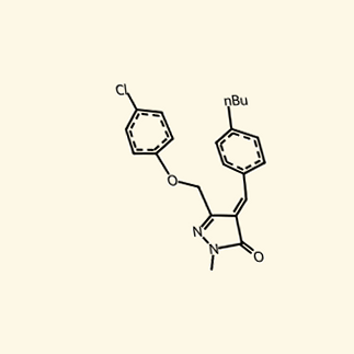 CCCCc1ccc(/C=C2/C(=O)N(C)N=C2COc2ccc(Cl)cc2)cc1